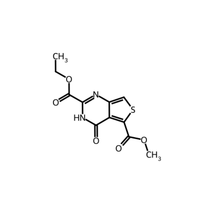 CCOC(=O)c1nc2csc(C(=O)OC)c2c(=O)[nH]1